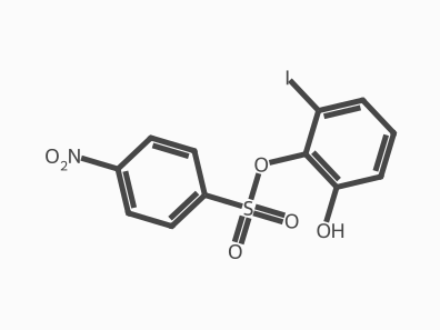 O=[N+]([O-])c1ccc(S(=O)(=O)Oc2c(O)cccc2I)cc1